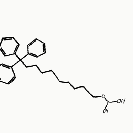 OP(O)OCCCCCCCCCC(c1ccccc1)(c1ccccc1)c1ccccc1